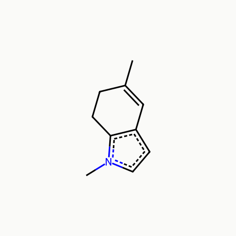 CC1=Cc2ccn(C)c2CC1